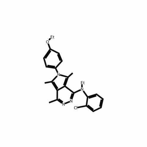 CCOc1ccc(-n2c(C)c3c(C)nnc(N(CC)c4ccccc4Cl)c3c2C)cc1